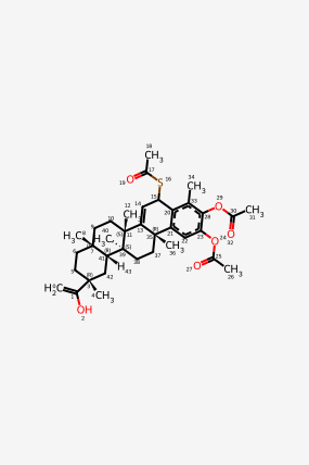 C=C(O)[C@]1(C)CC[C@]2(C)CC[C@]3(C)C4=CC(SC(C)=O)c5c(cc(OC(C)=O)c(OC(C)=O)c5C)[C@]4(C)CC[C@@]3(C)[C@@H]2C1